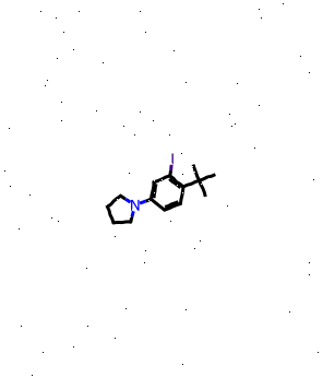 CC(C)(C)c1ccc(N2CCCC2)cc1I